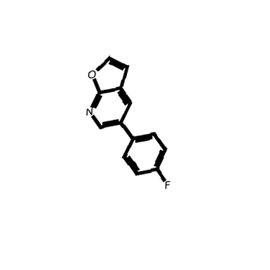 Fc1ccc(-c2cnc3o[c]cc3c2)cc1